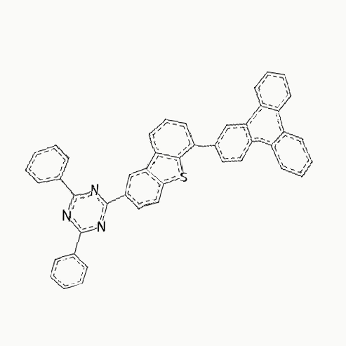 c1ccc(-c2nc(-c3ccccc3)nc(-c3ccc4sc5c(-c6ccc7c8ccccc8c8ccccc8c7c6)cccc5c4c3)n2)cc1